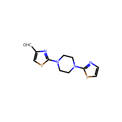 O=Cc1csc(N2CCN(c3nccs3)CC2)n1